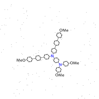 COc1ccc(-c2ccc(-c3ccc(N(c4ccc(-c5ccc(-c6ccc(OC)cc6)cc5)cc4)c4ccc(N(c5ccc(OC)cc5)c5ccc(OC)cc5)cc4)cc3)cc2)cc1